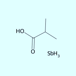 CC(C)C(=O)O.[SbH3]